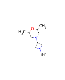 CC1CN(C2CN(C(C)C)C2)CC(C)O1